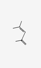 CC(C)=CC(=O)Br